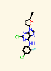 C#CC1CCC(n2cnc3c(Nc4ccc(Cl)cc4F)nc(Cl)nc32)O1